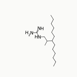 CCCCCCC(CCCCCC)C(C)CNC(=N)N